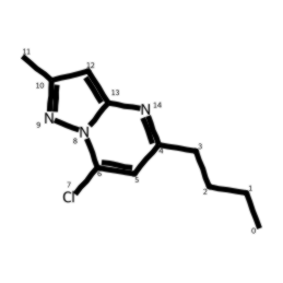 CCCCc1cc(Cl)n2nc(C)cc2n1